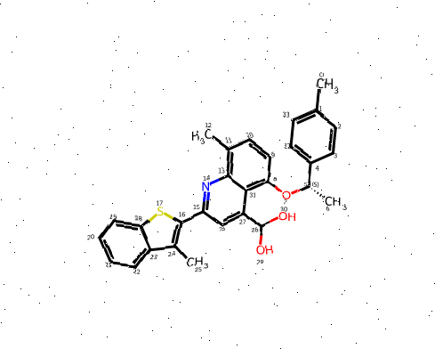 Cc1ccc([C@H](C)Oc2ccc(C)c3nc(-c4sc5ccccc5c4C)cc(C(O)O)c23)cc1